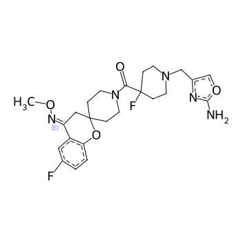 CO/N=C1\CC2(CCN(C(=O)C3(F)CCN(Cc4coc(N)n4)CC3)CC2)Oc2ccc(F)cc21